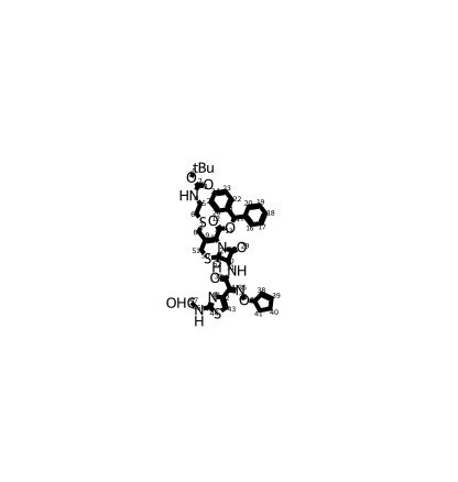 CC(C)(C)OC(=O)NCCSCC1=C(C(=O)OC(c2ccccc2)c2ccccc2)N2C(=O)C(NC(=O)C(=NOC3C=CCC3)c3csc(NC=O)n3)[C@@H]2SC1